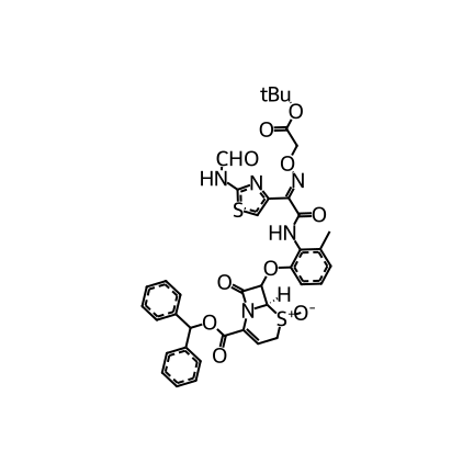 Cc1cccc(OC2C(=O)N3C(C(=O)OC(c4ccccc4)c4ccccc4)=CC[S+]([O-])[C@H]23)c1NC(=O)/C(=N/OCC(=O)OC(C)(C)C)c1csc(NC=O)n1